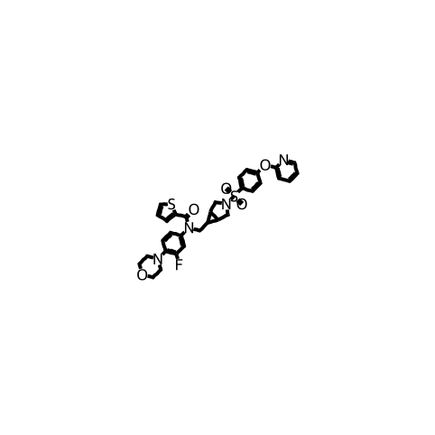 O=C(c1cccs1)N(CC1C2CN(S(=O)(=O)c3ccc(Oc4ccccn4)cc3)CC12)c1ccc(N2CCOCC2)c(F)c1